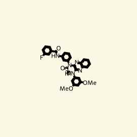 COc1cc(Nc2nc3ccccc3nc2N(c2cccc(NC(=O)c3cccc(F)c3)c2)[SH](=O)=O)cc(OC)c1